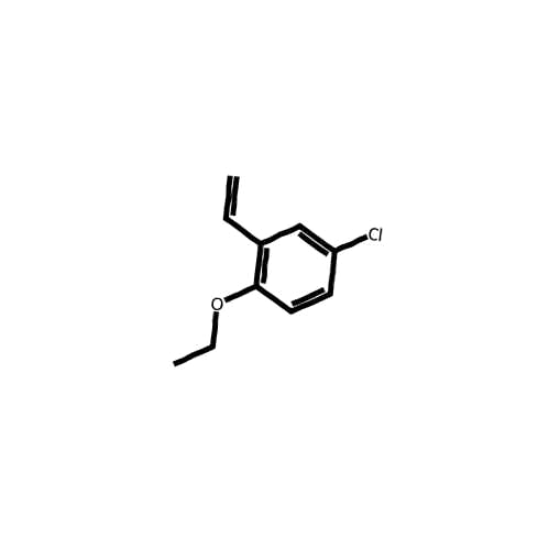 C=Cc1cc(Cl)ccc1OCC